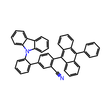 N#Cc1cc(-c2ccccc2-n2c3ccccc3c3ccccc32)ccc1-c1c2ccccc2c(-c2ccccc2)c2ccccc12